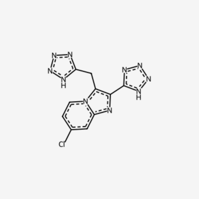 Clc1ccn2c(Cc3nnn[nH]3)c(-c3nnn[nH]3)nc2c1